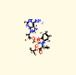 C#C[C@H](NP(=O)(CO[C@H](C)Cn1cnc2c(N)ncnc21)Oc1ccccc1)C(=O)OC(C)C